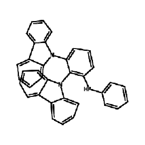 c1ccc(Pc2cccc(-n3c4ccccc4c4ccccc43)c2-n2c3ccccc3c3ccccc32)cc1